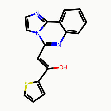 OC(=Cc1nc2ccccc2c2nccn12)c1cccs1